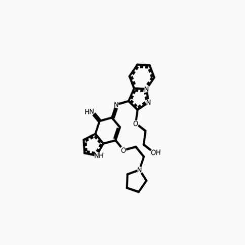 N=C1C(=Nc2c(OCCO)nn3ccccc23)C=C(OCCN2CCCC2)c2[nH]ccc21